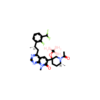 BC(B)(B)OC1(c2cc3c(C[C@H](C)c4cccc(C(F)F)c4F)ncnc3n(C)c2=O)CC[C@@H](C)N(C(C)=O)C1